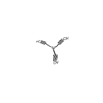 C#C[Si](C#C)C#C